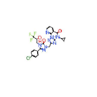 O=C(NC1CC1)c1cccnc1-n1cnc(Cn2nc(-c3ccc(Cl)cc3)n(CC(O)C(F)(F)F)c2=O)n1